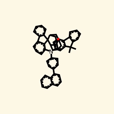 CC1(C)c2ccccc2-c2ccc(N(c3ccc(-c4cccc5ccccc45)cc3)c3cccc4c3C3(c5ccccc5-4)C4CC5CC(C4)CC3C5)cc21